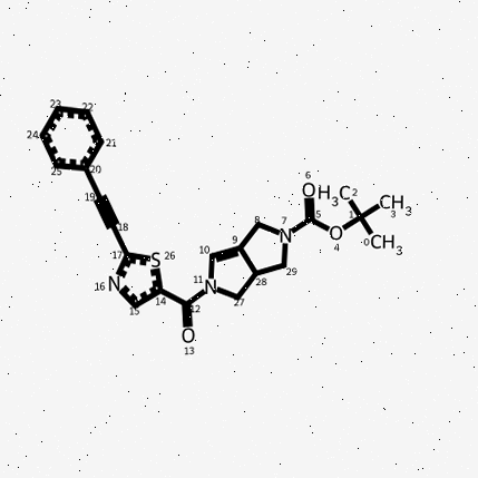 CC(C)(C)OC(=O)N1CC2=CN(C(=O)c3cnc(C#Cc4ccccc4)s3)CC2C1